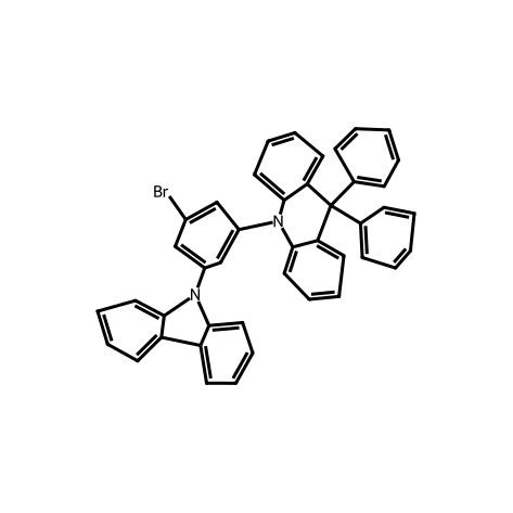 Brc1cc(N2c3ccccc3C(c3ccccc3)(c3ccccc3)c3ccccc32)cc(-n2c3ccccc3c3ccccc32)c1